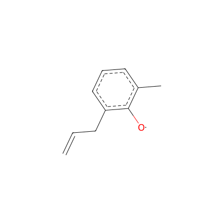 C=CCc1cccc(C)c1[O]